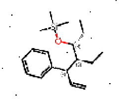 C=C[C@@H](c1ccccc1)[C@H](CC)[C@@H](CC)O[Si](C)(C)C